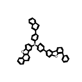 c1ccc(-c2cccc3c2oc2ccc(-c4ccc(N(c5ccc(-c6ccc7ccccc7c6)cc5)c5ccc6oc7c8ccccc8ccc7c6c5)cc4)cc23)cc1